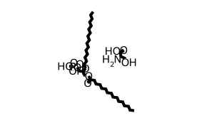 CCCCCCCCCCCCCCCC(=O)OCC(COP(=O)(O)O)OC(=O)CCCCCCCCCCCCCCC.NC(CO)C(=O)O